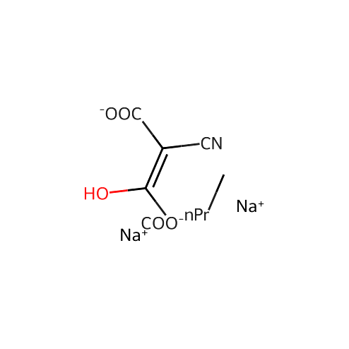 CCCC.N#C/C(C(=O)[O-])=C(/O)C(=O)[O-].[Na+].[Na+]